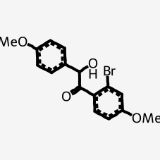 COc1ccc(C(O)C(=O)c2ccc(OC)cc2Br)cc1